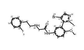 COc1ccc(NC(=O)CNCCc2ccccc2F)cc1-c1c(Br)cnn1C